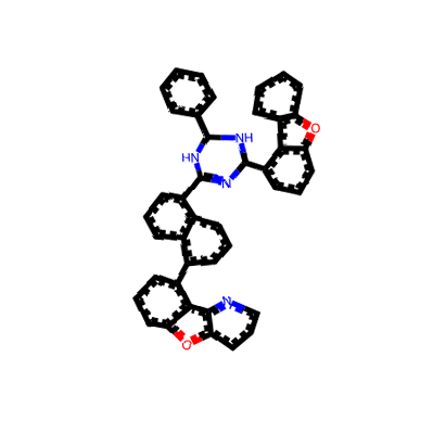 c1ccc(C2NC(c3cccc4c(-c5cccc6oc7cccnc7c56)cccc34)=NC(c3cccc4oc5ccccc5c34)N2)cc1